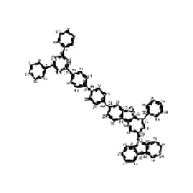 c1ccc(-c2nc(-c3ccccc3)nc(-c3ccc(-c4ccc(-c5ccc6c(c5)oc5c(-c7ccccc7)cc(-n7c8ccccc8c8ccccc87)cc56)cc4)cc3)n2)cc1